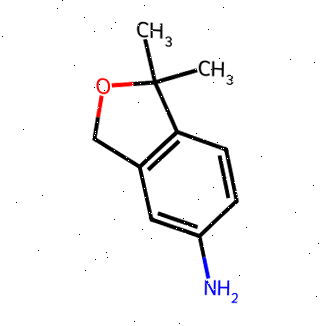 CC1(C)OCc2cc(N)ccc21